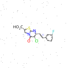 O=C(O)c1cn2c(=O)c(Cl)c(/C=C/c3cccc(F)c3)nc2s1